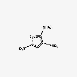 CC(=O)Nc1sc([N+](=O)[O-])cc1[N+](=O)[O-]